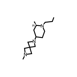 CCCN1CCC(N2CC3(CN(C)C3)C2)C[C@H]1C